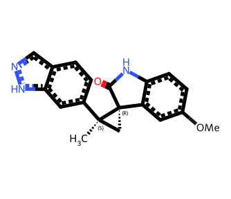 COc1ccc2c(c1)[C@]1(C[C@@]1(C)c1ccc3cn[nH]c3c1)C(=O)N2